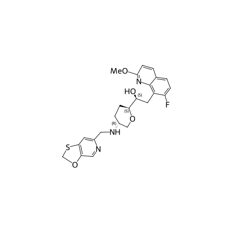 COc1ccc2ccc(F)c(C[C@H](O)[C@@H]3CC[C@@H](NCc4cc5c(cn4)OCS5)CO3)c2n1